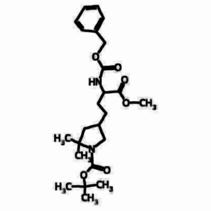 COC(=O)C(CCC1CN(C(=O)OC(C)(C)C)C(C)(C)C1)NC(=O)OCc1ccccc1